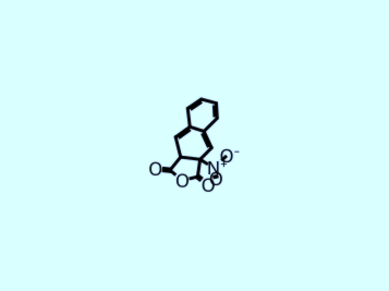 O=C1OC(=O)C2([N+](=O)[O-])C=c3ccccc3=CC12